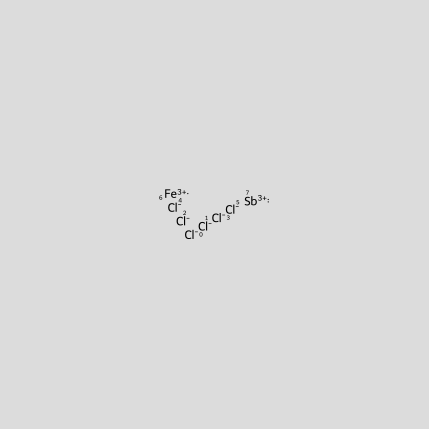 [Cl-].[Cl-].[Cl-].[Cl-].[Cl-].[Cl-].[Fe+3].[Sb+3]